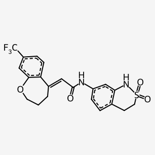 O=C(/C=C1\CCCOc2cc(C(F)(F)F)ccc21)Nc1ccc2c(c1)NS(=O)(=O)CC2